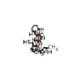 C/C=C\c1c(S)nc(N[C@@H]2C[C@H]3CCC[C@@H](C2)N3C(=O)CN2CCOCC2)nc1Nc1cc(C)[nH]n1